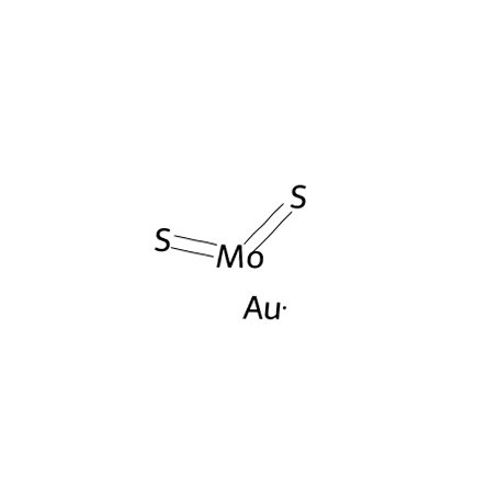 [Au].[S]=[Mo]=[S]